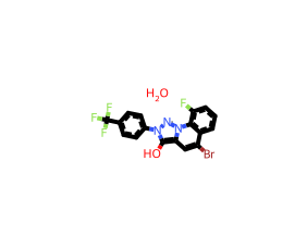 O.OC1=C2C=C(Br)c3cccc(F)c3N2[N]N1c1ccc(C(F)(F)F)cc1